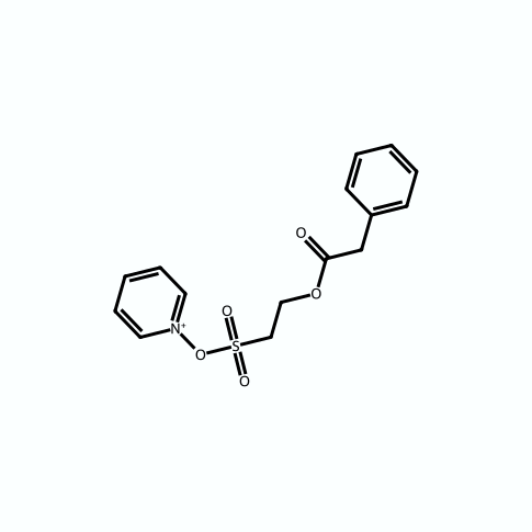 O=C(Cc1ccccc1)OCCS(=O)(=O)O[n+]1ccccc1